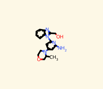 CC1COCCN1c1cc(N)nc(-n2c(CO)nc3ccccc32)c1